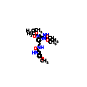 COc1ccc2[nH]c(C(=O)NCCc3ccc4c(c3)c(C(=N)NC(=O)OC(C)(C)C)cn4C(=O)OC(C)(C)C)cc2c1